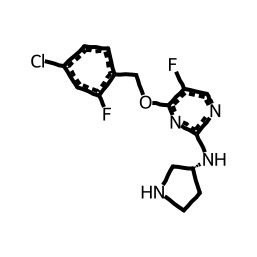 Fc1cc(Cl)ccc1COc1nc(N[C@@H]2CCNC2)ncc1F